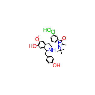 CC(NC(C)(C)C)C(=O)c1cccc(Cl)c1.COc1cc2c(cc1O)C(Cc1ccc(O)cc1)NCC2.Cl